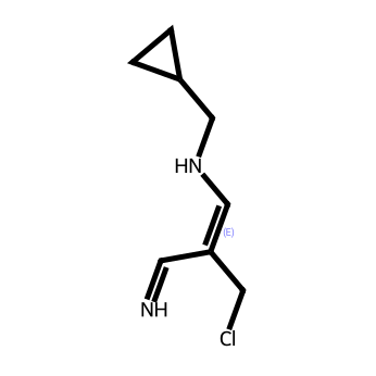 N=C/C(=C\NCC1CC1)CCl